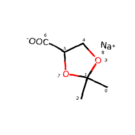 CC1(C)OCC(C(=O)[O-])O1.[Na+]